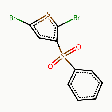 O=S(=O)(c1ccccc1)c1cc(Br)sc1Br